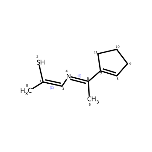 C/C(S)=C/N=C(\C)C1=CCCC1